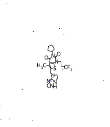 Cc1c(CN2CCN/C2=N\C#N)sc2c1c(=O)n(C1CCCC1)c(=O)n2CCC(F)(F)F